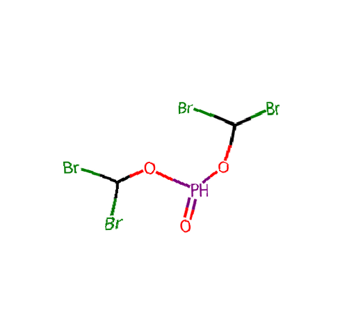 O=[PH](OC(Br)Br)OC(Br)Br